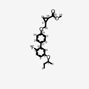 CCC(C)Oc1ccc(F)c(-c2ccc(OCC3CC3C(=O)OC)cc2)c1